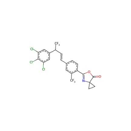 O=C1OC(c2ccc(C=CC(c3cc(Cl)c(Cl)c(Cl)c3)C(F)(F)F)cc2C(F)(F)F)=NC12CC2